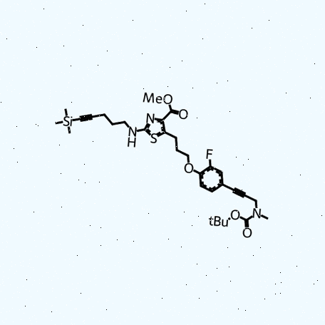 COC(=O)c1nc(NCCCC#C[Si](C)(C)C)sc1CCCOc1ccc(C#CCN(C)C(=O)OC(C)(C)C)cc1F